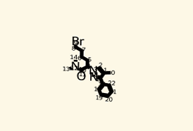 Cc1cn(C(CCCCBr)C(=O)N(C)C)nc1-c1ccccc1